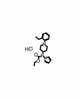 CCOC(=O)N(C1CCN(c2ccccc2CC)CC1)n1cccc1.Cl